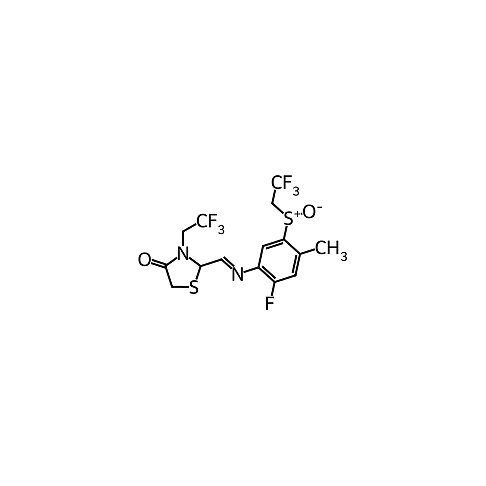 Cc1cc(F)c(N=CC2SCC(=O)N2CC(F)(F)F)cc1[S+]([O-])CC(F)(F)F